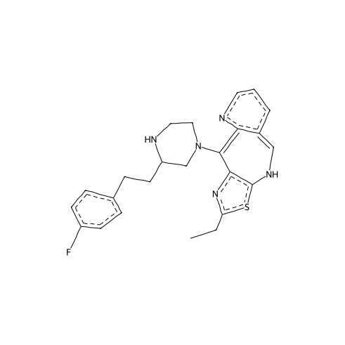 CCc1nc2c(s1)NC=c1cccnc1=C2N1CCNC(CCc2ccc(F)cc2)C1